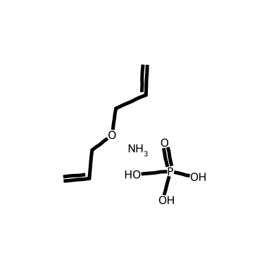 C=CCOCC=C.N.O=P(O)(O)O